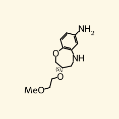 COCCO[C@H]1CNc2cc(N)ccc2OC1